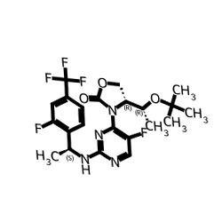 C[C@H](Nc1ncc(F)c(N2C(=O)OC[C@@H]2[C@@H](C)OC(C)(C)C)n1)c1ccc(C(F)(F)F)cc1F